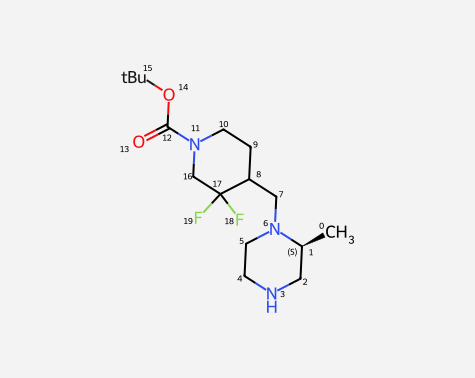 C[C@H]1CNCCN1CC1CCN(C(=O)OC(C)(C)C)CC1(F)F